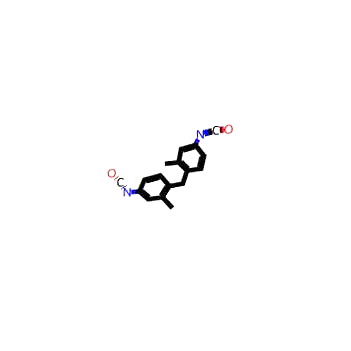 Cc1cc(N=C=O)ccc1Cc1ccc(N=C=O)cc1C